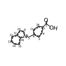 O=C(O)c1ccc(Cn2ccc3ccccc32)cc1